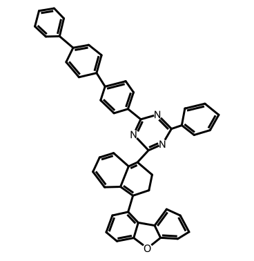 c1ccc(-c2ccc(-c3ccc(-c4nc(C5=c6ccccc6=C(c6cccc7oc8ccccc8c67)CC5)nc(-c5ccccc5)n4)cc3)cc2)cc1